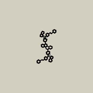 C1=CC2=C(c3ccc(N(c4ccc(C=Cc5ccccc5)cc4)c4cccc5ccccc45)cc3)Cc3c(cc(-c4ccc(N(c5ccc(C=Cc6ccccc6)cc5)c5cccc6ccccc56)cc4)c4ccccc34)C2C=C1